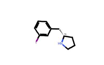 Ic1cccc(C[C@@H]2CCCN2)c1